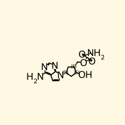 Nc1ncnc2c1ccn2[C@@H]1C[C@@H](COS(N)(=O)=O)[C@@H](O)C1